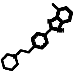 Cc1cccc2[nH]c(-c3ccc(CCN4CCCCC4)cc3)nc12